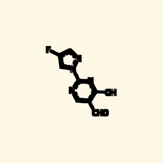 O=Cc1cnc(-n2cc(F)cn2)nc1O